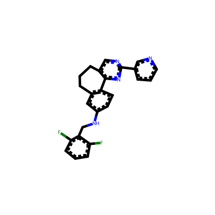 Fc1cccc(F)c1CNc1ccc2c(c1)CCCc1cnc(-c3cccnc3)nc1-2